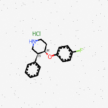 Cl.Fc1ccc(O[C@@H]2CCNC[C@@H]2c2ccccc2)cc1